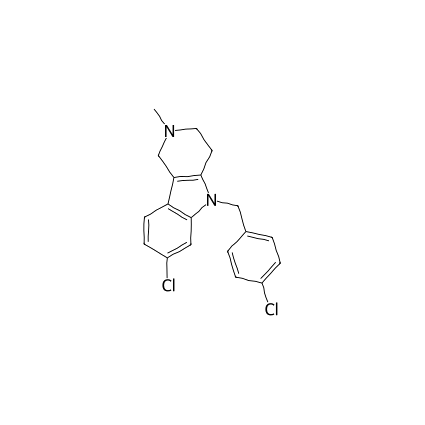 CN1CCc2c(c3ccc(Cl)cc3n2Cc2ccc(Cl)cc2)C1